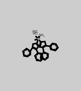 Cl.Cl.[CH3][Zr]([CH3])(=[SiH2])([C]1=CC(c2ccccc2)=C(c2ccccc2)C1)[C]1=CC(c2ccccc2)=C(c2ccccc2)C1